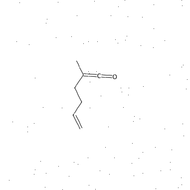 C=CCCC(C)=C=O